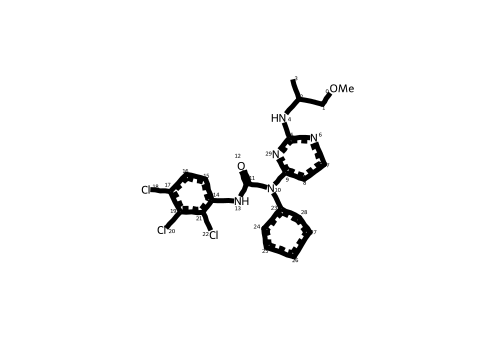 COCC(C)Nc1nccc(N(C(=O)Nc2ccc(Cl)c(Cl)c2Cl)c2ccccc2)n1